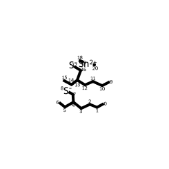 CCCCC(CC)C[S-].CCCCC(CC)C[S-].[CH3][Sn+2][CH3]